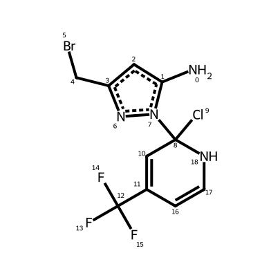 Nc1cc(CBr)nn1C1(Cl)C=C(C(F)(F)F)C=CN1